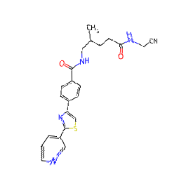 CC(CCC(=O)NCC#N)CNC(=O)c1ccc(-c2csc(-c3cccnc3)n2)cc1